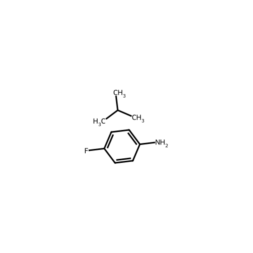 CC(C)C.Nc1ccc(F)cc1